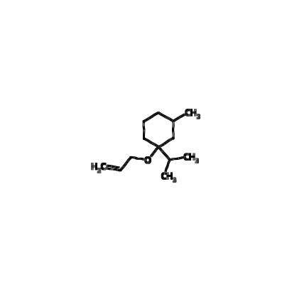 C=CCOC1(C(C)C)CCCC(C)C1